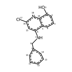 Oc1cccc2c(NCc3ccccc3)cc(Cl)nc12